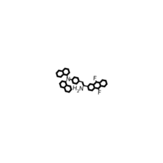 NC(=Cc1ccc(N(c2cccc3ccccc23)c2cccc3ccccc23)cc1)c1ccc2c(F)c3ccccc3c(F)c2c1